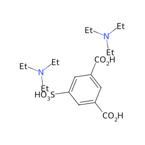 CCN(CC)CC.CCN(CC)CC.O=C(O)c1cc(C(=O)O)cc(S(=O)(=O)O)c1